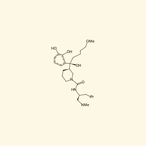 CNC[C@H](CC(C)C)NC(=O)N1CCC[C@@H]([C@@](O)(CCCCOC)c2cccc(O)c2O)C1